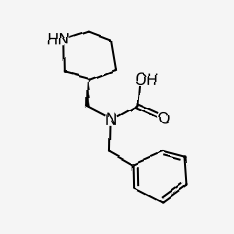 O=C(O)N(Cc1ccccc1)C[C@@H]1CCCNC1